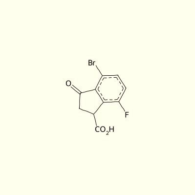 O=C1CC(C(=O)O)c2c(F)ccc(Br)c21